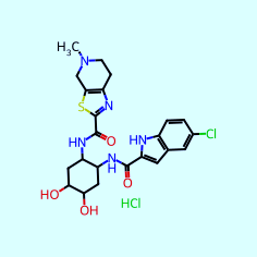 CN1CCc2nc(C(=O)NC3CC(O)C(O)CC3NC(=O)c3cc4cc(Cl)ccc4[nH]3)sc2C1.Cl